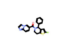 O=C(c1ccc2nccn2c1)N1CCc2sc(F)cc2C1c1ccccc1